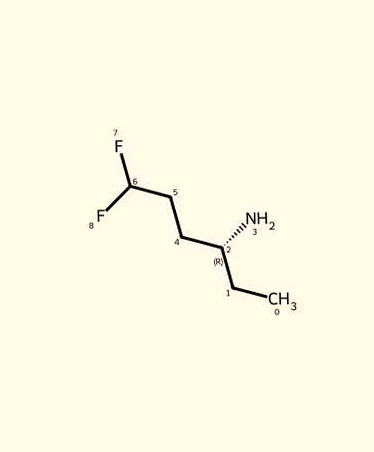 CC[C@@H](N)CCC(F)F